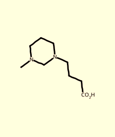 CN1CCCN(CCCC(=O)O)C1